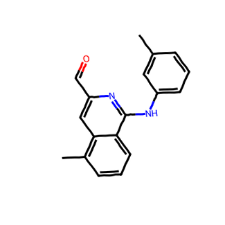 Cc1cccc(Nc2nc(C=O)cc3c(C)cccc23)c1